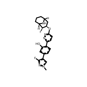 Cn1cc(-c2ccc(-c3ccc(O[C@@H]4C[C@H]5CCC[C@H](N5)[C@@H]4F)nn3)c(O)c2)c(F)n1